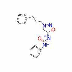 O=C(/N=C1\C[N+](CCCc2ccccc2)=NO1)Nc1ccccc1